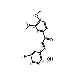 COc1ccc(C(=O)/C=C/c2cc(F)ccc2O)cc1OC